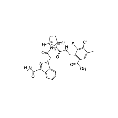 Cc1cc(C(=O)O)c(CNC(=O)[C@@H]2[C@H]3CC[C@H](C3)N2C(=O)Cn2nc(C(N)=O)c3ccccc32)c(F)c1Cl